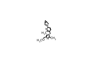 COCc1cn(Cc2ccc(N3CC4CC4C3)nc2C)c(C)n1